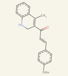 COc1ccc(/C=C/C(=O)C2=C(C)c3ccccc3NC2)cc1